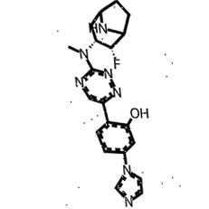 CN(c1ncc(-c2ccc(-n3ccnc3)cc2O)nn1)[C@@H]1CC2CCC(N2)[C@@H]1F